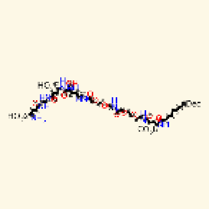 CCCCCCCCCCCCCCCCCC(=O)NC(CCC(=O)NCCOCCOCC(=O)NCCOCCOCC(=O)NCCCCC(NO)C(=O)NC(CCC(=O)NCCNC(=O)CCC(N)C(=O)O)C(=O)O)C(=O)O